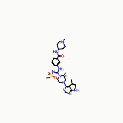 CCS(=O)(=O)N=C(Nc1cccc(C(=O)NC2CCN(C)CC2)c1)N1CCN(c2ncnc3[nH]cc(C)c23)C[C@@H]1C